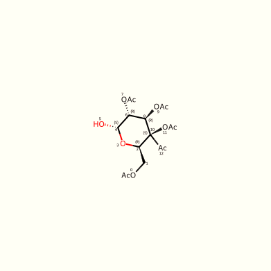 CC(=O)OC[C@H]1O[C@H](O)[C@H](OC(C)=O)[C@@H](OC(C)=O)[C@]1(OC(C)=O)C(C)=O